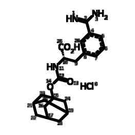 Cl.N=C(N)c1cccc(C[C@H](NC(=O)OC23CC4CC(CC(C4)C2)C3)C(=O)O)c1